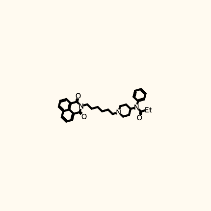 CCC(=O)N(c1ccccc1)C1CCN(CCCCCCN2C(=O)c3cccc4cccc(c34)C2=O)CC1